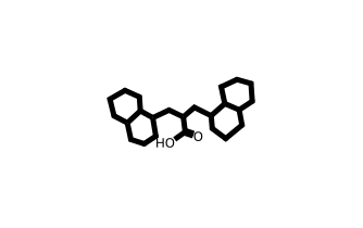 O=C(O)C(CC1CCCC2CCCCC21)CC1CCCC2CCCCC21